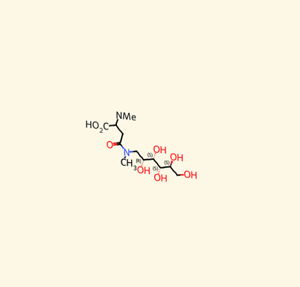 CNC(CC(=O)N(C)C[C@@H](O)[C@H](O)[C@@H](O)[C@@H](O)CO)C(=O)O